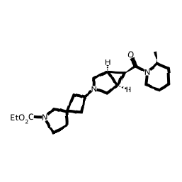 CCOC(=O)N1CCC2(CC(N3C[C@@H]4[C@H](C3)[C@@H]4C(=O)N3CCCC[C@@H]3C)C2)C1